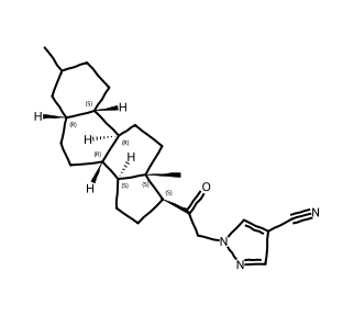 C[C]1CC[C@H]2[C@H](CC[C@@H]3[C@@H]2CC[C@]2(C)[C@@H](C(=O)Cn4cc(C#N)cn4)CC[C@@H]32)C1